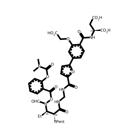 CCCCC[C@@H](C(=O)NCNC(=O)c1ccc(-c2ccc(C(=O)N[C@@H](CC(=O)O)C(=O)O)c(OCC(=O)O)c2)o1)[C@@H](CC)N(C=O)OC(=O)c1ccccc1OC(=O)N(C)C